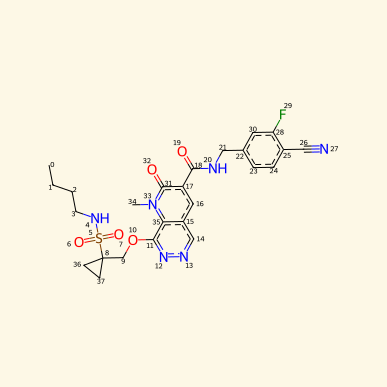 CCCCNS(=O)(=O)C1(COc2nncc3cc(C(=O)NCc4ccc(C#N)c(F)c4)c(=O)n(C)c23)CC1